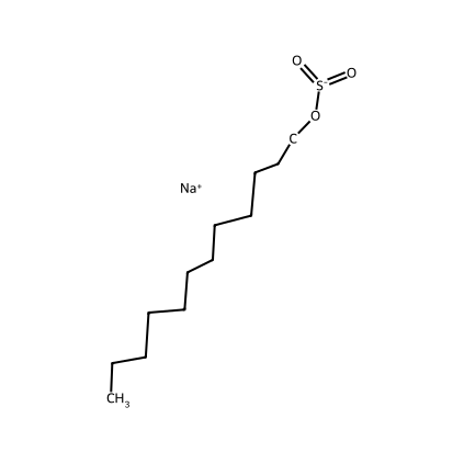 CCCCCCCCCCCCO[S-](=O)=O.[Na+]